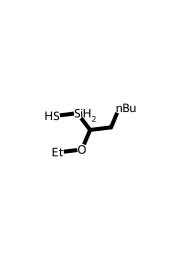 CCCCCC(OCC)[SiH2]S